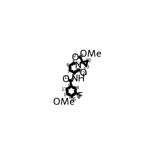 COC(=O)C1(n2cccc(NC(=O)c3ccc(OC)c(F)c3)c2=O)CC1